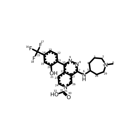 CN1CCCC(Nc2nnc(-c3ccc(C(F)(F)F)cc3O)c3ccncc23)CC1.O=CO